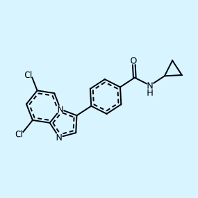 O=C(NC1CC1)c1ccc(-c2cnc3c(Cl)cc(Cl)cn23)cc1